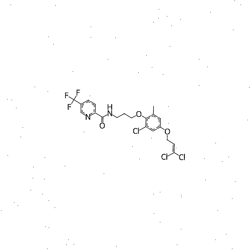 Cc1cc(OCC=C(Cl)Cl)cc(Cl)c1OCCCNC(=O)c1ccc(C(F)(F)F)cn1